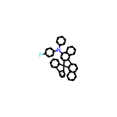 Fc1ccc(N(c2ccccc2)c2cc3c(c4ccccc24)-c2ccc4ccccc4c2C32c3ccccc3-c3ccccc32)cc1